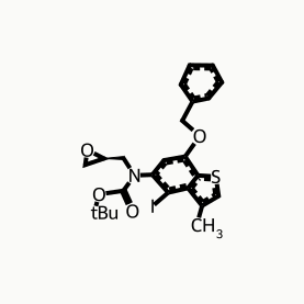 Cc1csc2c(OCc3ccccc3)cc(N(C[C@H]3CO3)C(=O)OC(C)(C)C)c(I)c12